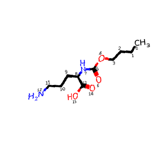 CCCCOC(=O)NC(CCCN)C(=O)O